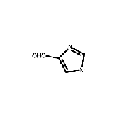 O=CC1=C[N]C=N1